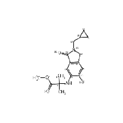 COC(=O)C(C)(C)Nc1cc2c(cc1F)CN(CC1CC1)C2=O